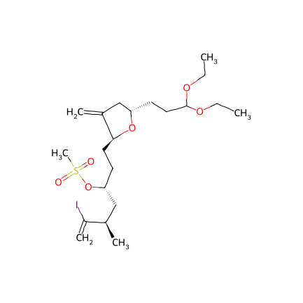 C=C(I)[C@H](C)C[C@@H](CC[C@@H]1O[C@@H](CCC(OCC)OCC)CC1=C)OS(C)(=O)=O